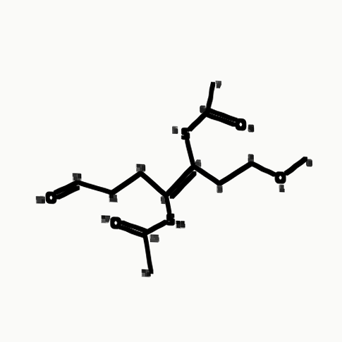 COCC/C(SC(C)=O)=C(/CCC=O)SC(C)=O